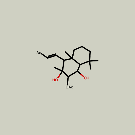 CC(=O)/C=C/C1C(C)(O)C(OC(C)=O)C(O)C2C(C)(C)CCCC21C